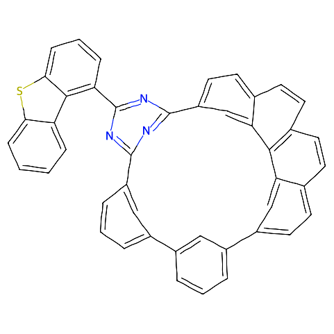 c1cc2cc(c1)c1ccc3ccc4ccc5ccc(cc5c4c3c1)c1nc(-c3cccc4sc5ccccc5c34)nc(n1)c1cccc2c1